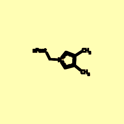 CCCCCCn1cc(C)c(C)c1